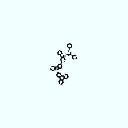 c1ccc(-c2cc(-c3ccccc3)nc(-n3c4ccccc4c4cc(-c5ccc6c(c5)c5ccccc5n6-c5ccc6c7ccccc7c7ccccc7c6c5)ccc43)c2)cc1